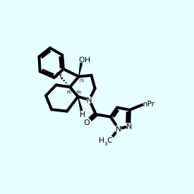 CCCc1cc(C(=O)N2CC[C@@](O)(c3ccccc3)[C@@H]3CCCC[C@H]32)n(C)n1